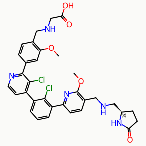 COc1cc(-c2nccc(-c3cccc(-c4ccc(CNC[C@H]5CCC(=O)N5)c(OC)n4)c3Cl)c2Cl)ccc1CNCC(=O)O